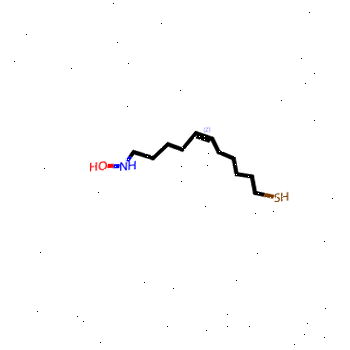 ONCCCC/C=C\CCCCCS